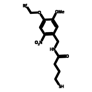 COc1cc(CNC(=O)CCCS)c([N+](=O)[O-])cc1O[CH2][Rf]